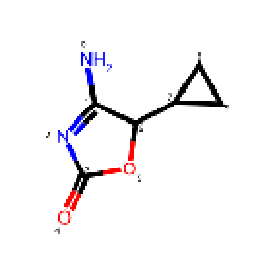 NC1=NC(=O)OC1C1CC1